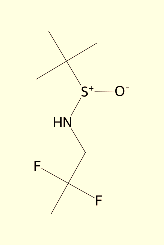 CC(F)(F)CN[S+]([O-])C(C)(C)C